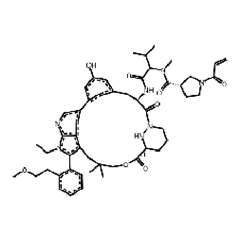 C=CC(=O)N1CC[C@H](C(=O)N(C)C(C(=O)N[C@@H]2Cc3cc(O)cc(c3)-c3cnc4c(c3)c(c(-c3ccccc3CCOC)n4CC)CC(C)(C)COC(=O)[C@@H]3CCCN(N3)C2=O)C(C)C)C1